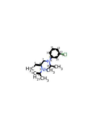 C=C(C)N/C(=C\C)CN(c1cccc(Cl)c1)C(C)C